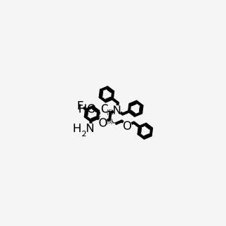 Nc1cc(F)ccc1O[C@@H](CCOCc1ccccc1)[C@@H](C(=O)O)N(Cc1ccccc1)Cc1ccccc1